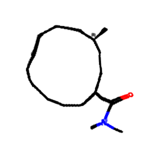 C[C@@H]1CCCCCCCCCC(C(=O)N(C)C)CC1